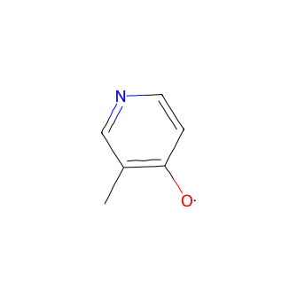 Cc1cnccc1[O]